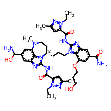 CCn1nc(C)cc1C(=O)Nc1nc2cc(C(N)=O)cc(OCCCO)c2n1CCC[C@H]1CCN(C)c2cc(C(N)O)cc3nc(NC(=O)c4cc(C)nn4CC)n1c23